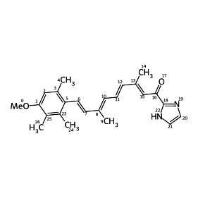 COc1cc(C)c(C=CC(C)=CC=CC(C)=CC(=O)c2ncc[nH]2)c(C)c1C